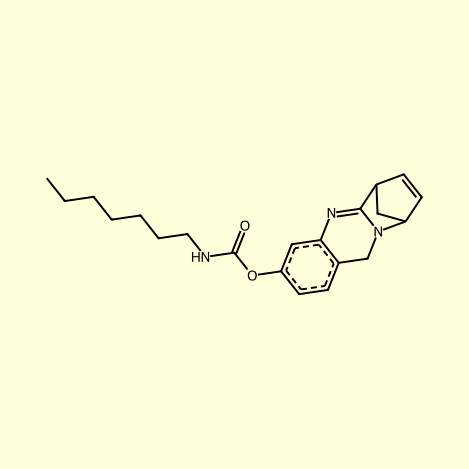 CCCCCCCNC(=O)Oc1ccc2c(c1)N=C1C3C=CC(C3)N1C2